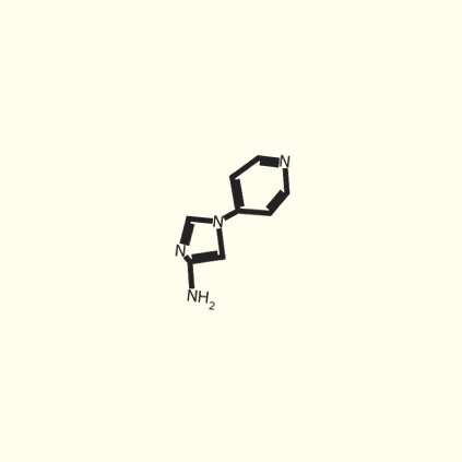 Nc1cn(-c2ccncc2)cn1